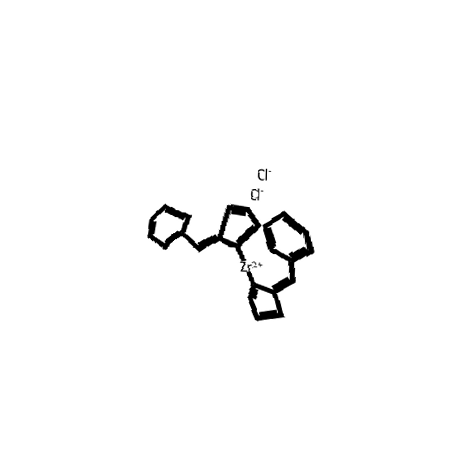 C1=CC(=Cc2ccccc2)[C]([Zr+2][C]2=CC=CC2=Cc2ccccc2)=C1.[Cl-].[Cl-]